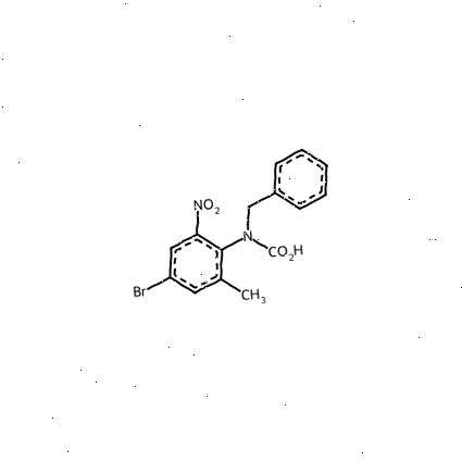 Cc1cc(Br)cc([N+](=O)[O-])c1N(Cc1ccccc1)C(=O)O